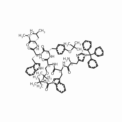 COC(=O)[C@H](CC(C)C)NC(=O)[C@@H](Cc1c[nH]c2ccccc12)NC(=O)[C@H](Cc1ccc(OC(C)(C)C)cc1)NC(=O)[C@H](COC(C)(C)C)NC(=O)[C@H](Cc1cn(C(=O)OC(C)(C)C)c2ccccc12)NC(=O)[C@@H](N)Cc1cn(C(c2ccccc2)(c2ccccc2)c2ccccc2)cn1